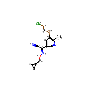 Cc1ncc(/C(C#N)=N/OCC2CC2)cc1SCSCl